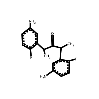 CC(C(=O)C(C)c1cc(N)ccc1F)c1cc(N)ccc1F